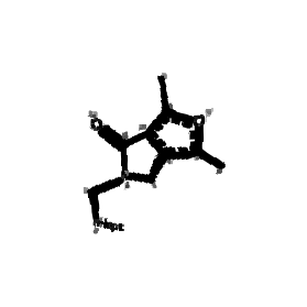 CCCCCCCCN1Cc2c(C)oc(C)c2C1=O